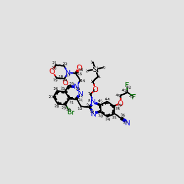 C[Si](C)(C)CCOCn1c(Cc2nn(CC(=O)N3CCOCC3)c(=O)c3cccc(Br)c23)nc2cc(C#N)c(OCC(F)F)cc21